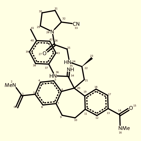 C=C(NC)c1ccc2c(c1)CCc1cc(C(=O)NC)ccc1C2(C[C@H](C)NCC(=O)N1CCCC1C#N)C(=N)Nc1ccc(C)cc1